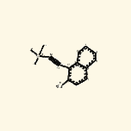 CC(C)(C)c1ccc2ccccc2c1C#C[Si](C)(C)C